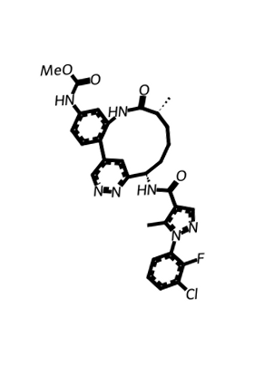 COC(=O)Nc1ccc2c(c1)NC(=O)[C@H](C)CCC[C@H](NC(=O)c1cnn(-c3cccc(Cl)c3F)c1C)c1cc-2cnn1